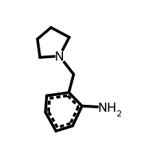 Nc1ccccc1CN1CCCC1